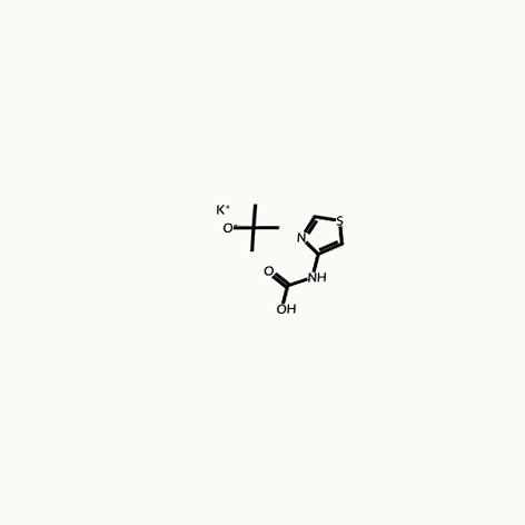 CC(C)(C)[O-].O=C(O)Nc1cscn1.[K+]